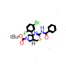 CC(C)(C)OC(=O)N1C[C@@H]2CSC(NC(=O)c3ccccc3)=N[C@@]2(c2cc(Br)ccc2F)C1